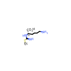 CCSC(=N)N[C@@H](CCCCN)C(=O)O